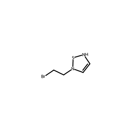 BrCCN1C=CNS1